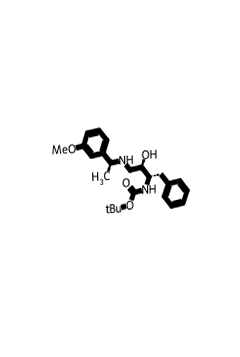 COc1cccc([C@H](C)NC[C@@H](O)[C@H](Cc2ccccc2)NC(=O)OC(C)(C)C)c1